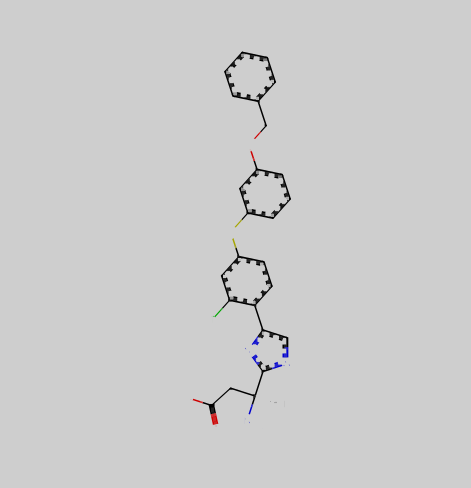 C[C@](N)(CC(=O)O)c1ncc(-c2ccc(Sc3cccc(OCc4ccccc4)c3)cc2Cl)[nH]1